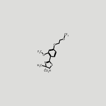 C[C@]1(C(=O)O)CSC(c2ccc(OCCOC(F)(F)F)cc2OC(F)(F)F)=N1